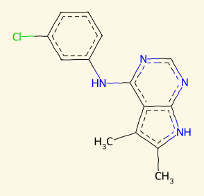 Cc1[nH]c2ncnc(Nc3cccc(Cl)c3)c2c1C